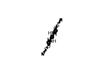 CN(C)CCCSCCOc1ccc2nc(-c3ccc(-c4nc5ccc(OCCSCCCN(C)C)cc5[nH]4)cc3)[nH]c2c1